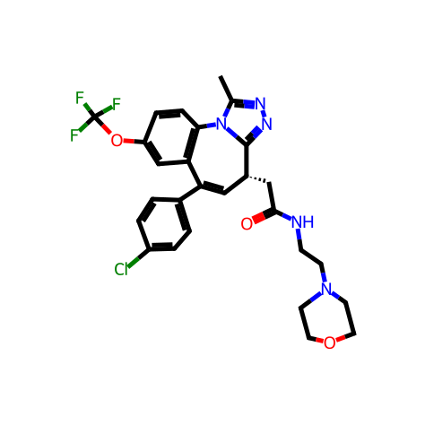 Cc1nnc2n1-c1ccc(OC(F)(F)F)cc1C(c1ccc(Cl)cc1)=C[C@H]2CC(=O)NCCN1CCOCC1